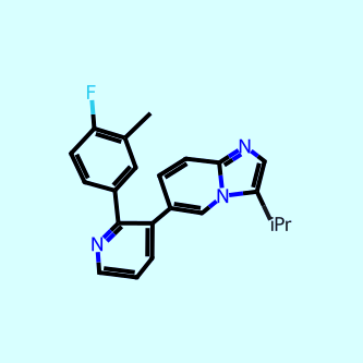 Cc1cc(-c2ncccc2-c2ccc3ncc(C(C)C)n3c2)ccc1F